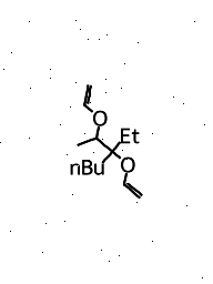 C=COC(C)C(CC)(CCCC)OC=C